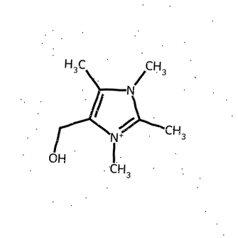 Cc1c(CO)[n+](C)c(C)n1C